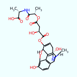 C[C@H](NC(=O)[C@H](C)OC(=O)C[C@H](O)C(=O)OC1=CC[C@@]2(O)[C@H]3Cc4ccc(O)c5c4[C@@]2(CCN3C)[C@H]1O5)C(=O)O